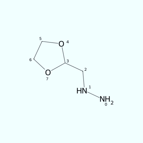 NNCC1OCCO1